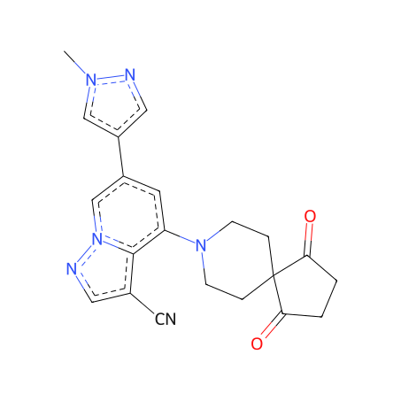 Cn1cc(-c2cc(N3CCC4(CC3)C(=O)CCC4=O)c3c(C#N)cnn3c2)cn1